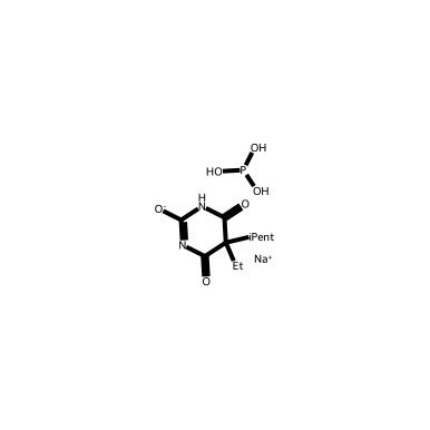 CCCC(C)C1(CC)C(=O)N=C([O-])NC1=O.OP(O)O.[Na+]